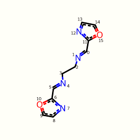 C(=NCCN=Cc1ncco1)c1ncco1